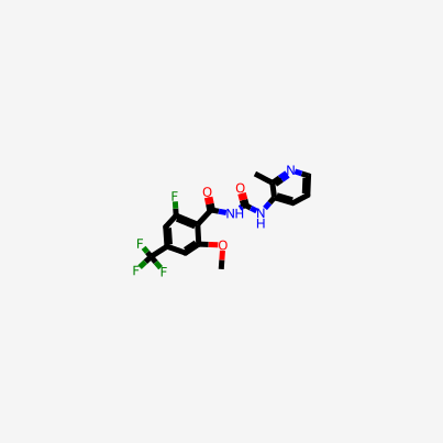 COc1cc(C(F)(F)F)cc(F)c1C(=O)NC(=O)Nc1cccnc1C